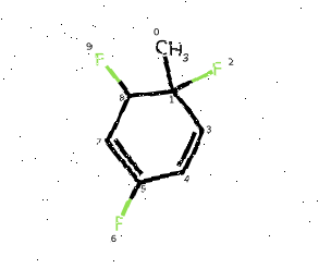 CC1(F)C=CC(F)=CC1F